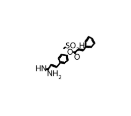 CS(=O)(=O)O.N=C(N)C=Cc1ccc(OC(=O)C=Cc2ccccc2)cc1